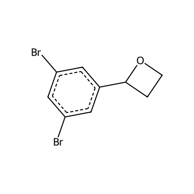 Brc1cc(Br)cc(C2CCO2)c1